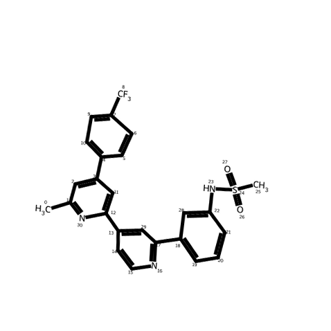 Cc1cc(-c2ccc(C(F)(F)F)cc2)cc(-c2ccnc(-c3cccc(NS(C)(=O)=O)c3)c2)n1